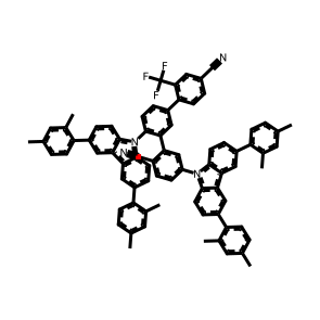 Cc1ccc(-c2ccc3c(c2)c2cc(-c4ccc(C)cc4C)ccc2n3-c2ccc(C#N)c(-c3cc(-c4ccc(C#N)cc4C(F)(F)F)ccc3-n3c4ccc(-c5ccc(C)cc5C)cc4c4cc(-c5ccc(C)cc5C)ccc43)c2)c(C)c1